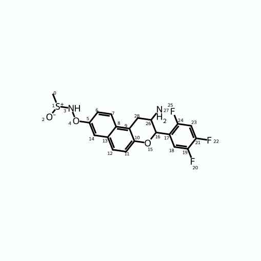 C[S+]([O-])NOc1ccc2c3c(ccc2c1)OC(c1cc(F)c(F)cc1F)C(N)C3